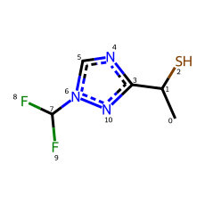 CC(S)c1ncn(C(F)F)n1